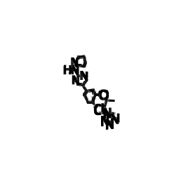 CC(Cn1cnnn1)Oc1cc(-c2cnc(Nc3ccccn3)nc2)ccc1Cl